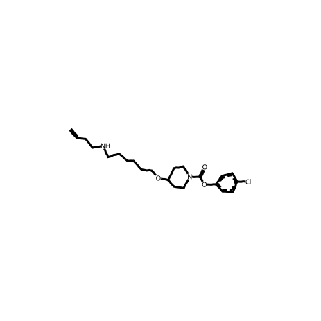 C=CCCNCCCCCCOC1CCN(C(=O)Oc2ccc(Cl)cc2)CC1